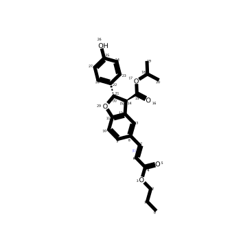 CCCOC(=O)/C=C/c1ccc2c(c1)[C@H](C(=O)OC(C)C)[C@@H](c1ccc(O)cc1)O2